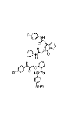 CCCCCCc1ccc(NC(=O)c2ccccc2OCC(=O)Nc2ccc(Br)cc2)cc1.O=C(CNC(=O)c1ccccc1OCC(=O)Nc1ccc(F)cc1)Nc1ccccc1